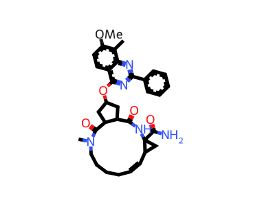 COc1ccc2c(OC3CC4C(=O)NC5(C(N)=O)CC5C=CCCCCN(C)C(=O)C4C3)nc(-c3ccccc3)nc2c1C